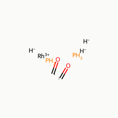 P.P.[C]=O.[C]=O.[H-].[H-].[H-].[Rh+3]